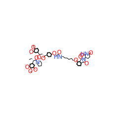 CC[C@H](C(=O)N1CCCC[C@H]1C(=O)O[C@H](CCc1ccc(OC)c(OC)c1)c1ccc(OCC(=O)NCCCCCCOc2cccc3c2C(=O)N(C2CCC(=O)NC2=O)C3=O)cc1)c1cc(OC)c(OC)c(OC)c1